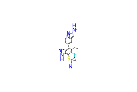 CCc1c(F)c(SC2(C#N)CC2)c2[nH]ncc2c1-c1ccn2nc(NC)cc2c1